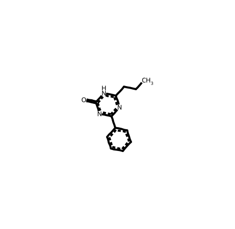 CCCc1nc(-c2ccccc2)nc(=O)[nH]1